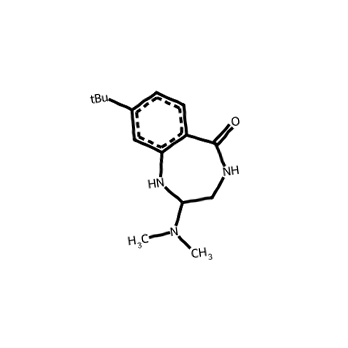 CN(C)C1CNC(=O)c2ccc(C(C)(C)C)cc2N1